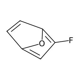 Fc1cc2ccc1o2